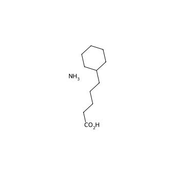 N.O=C(O)CCCCC1CCCCC1